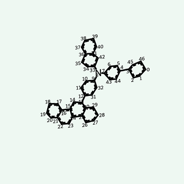 c1ccc(-c2ccc(N(c3ccc(-c4cc5c6ccccc6ccc5c5ccccc45)cc3)c3ccc4ccccc4c3)cc2)cc1